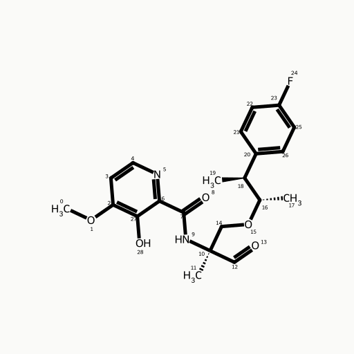 COc1ccnc(C(=O)N[C@](C)(C=O)CO[C@@H](C)[C@@H](C)c2ccc(F)cc2)c1O